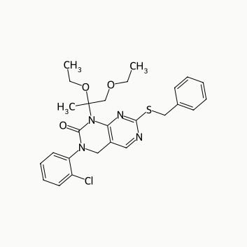 CCOCC(C)(OCC)N1C(=O)N(c2ccccc2Cl)Cc2cnc(SCc3ccccc3)nc21